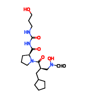 O=CN(O)C[C@@H](CC1CCCC1)C(=O)N1CCC[C@H]1C(=O)NC(=O)NCCCO